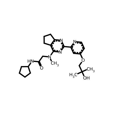 CN(CC(=O)NC1CCCC1)c1nc(-c2cc(OCC(C)(C)O)ccn2)nc2c1CCC2